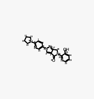 O=C1c2cn(-c3ccc(N4CCCC4)nc3)nc2CN1c1ncccc1O